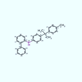 Cc1ccc(C(C)(C)c2ccc(Pc3ccccc3-c3ccccc3)cc2)cc1